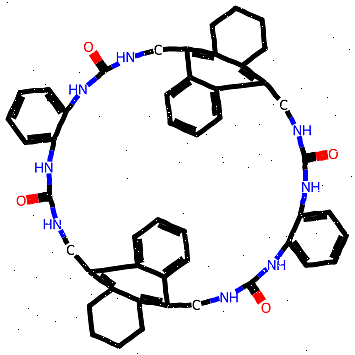 O=C1NCc2c3c(c(c4ccccc24)CNC(=O)Nc2ccccc2NC(=O)NCc2c4c(c(c5ccccc25)CNC(=O)Nc2ccccc2N1)CCCC4)CCCC3